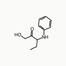 CCC(Nc1ccccc1)C(=O)CO